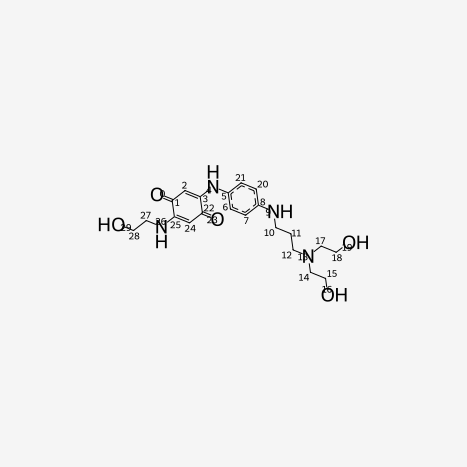 O=C1C=C(Nc2ccc(NCCCN(CCO)CCO)cc2)C(=O)C=C1NCCO